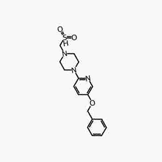 O=[SH](=O)CN1CCN(c2ccc(OCc3ccccc3)cn2)CC1